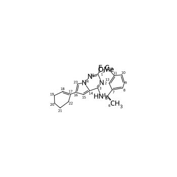 COc1nc(N[C@H](C)c2cccc(C(F)(F)F)c2)c2cc(C3=CCCCC3)cn2n1